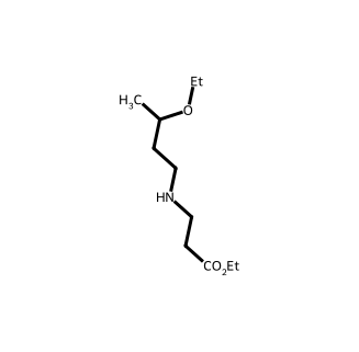 CCOC(=O)CCNCCC(C)OCC